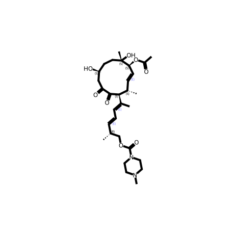 CC(=O)O[C@H]1/C=C/[C@H](C)[C@@H](/C(C)=C/C=C/[C@@H](C)COC(=O)N2CCN(C)CC2)C(=O)C(=O)C[C@@H](O)CC[C@]1(C)O